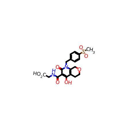 CS(=O)(=O)c1ccc(Cn2c3c(c(O)c(C(=O)NCC(=O)O)c2=O)CCOC3)cc1